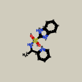 CC(NS(=O)(=O)c1nc2ccccc2[nH]1)c1ccccn1